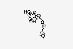 Cc1cc(C)c(OCCCCOc2ccc(/C=C/c3cccc4c(C(=O)CCC(=O)O)c(CCC(=O)O)n(C)c34)cc2)c(C)c1